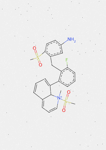 C[N+]1(S(C)(=O)=O)C=CC=C2C=CC=C(c3cccc(F)c3Cc3cc(N)ccc3S(C)(=O)=O)C21